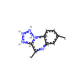 Cc1ccc2c(c1)nc(C)c1nnnn12